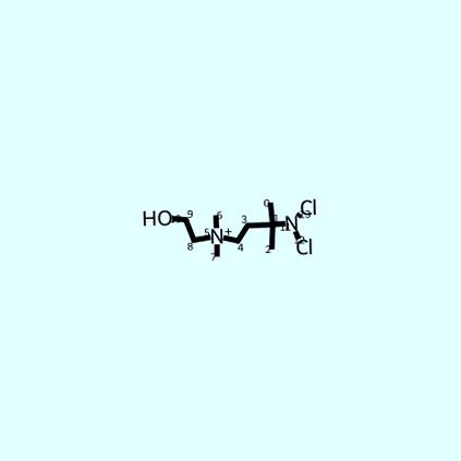 CC(C)(CC[N+](C)(C)CCO)N(Cl)Cl